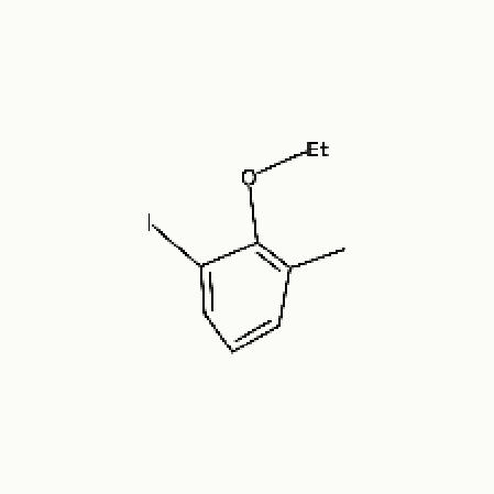 CCOc1c(C)cccc1I